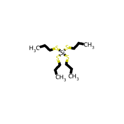 CCCS[Si](SCCC)(SCCC)SCCC